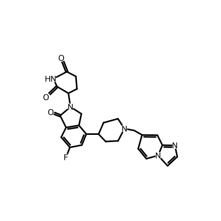 O=C1CCC(N2Cc3c(cc(F)cc3C3CCN(Cc4ccn5ccnc5c4)CC3)C2=O)C(=O)N1